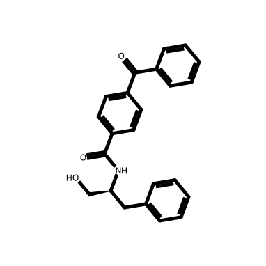 O=C(N[C@H](CO)Cc1ccccc1)c1ccc(C(=O)c2ccccc2)cc1